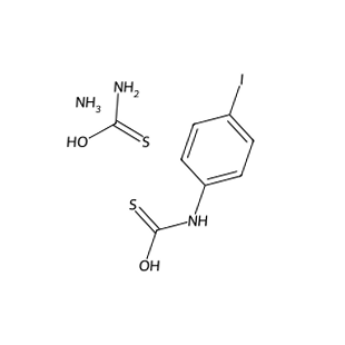 N.NC(O)=S.OC(=S)Nc1ccc(I)cc1